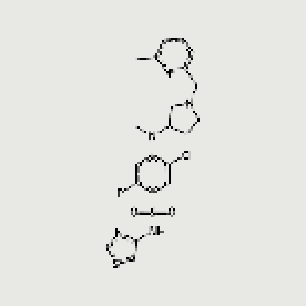 Cc1cccc(CN2CCC(N(C)c3cc(F)c(S(=O)(=O)Nc4cscn4)cc3Cl)C2)n1